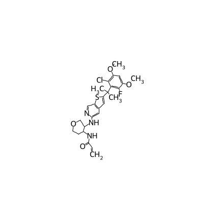 C=CC(=O)NC1CCOCC1Nc1cc2cc(C(C)(C)c3c(F)c(OC)cc(OC)c3Cl)sc2cn1